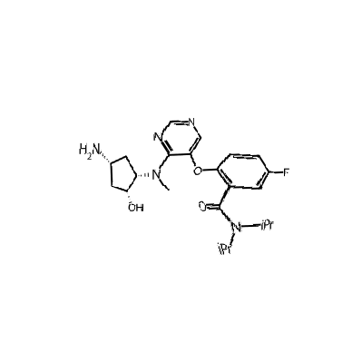 CC(C)N(C(=O)c1cc(F)ccc1Oc1cncnc1N(C)[C@H]1C[C@@H](N)C[C@H]1O)C(C)C